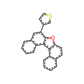 c1ccc2c(c1)ccc1oc3c(-c4ccsc4)cc4ccccc4c3c12